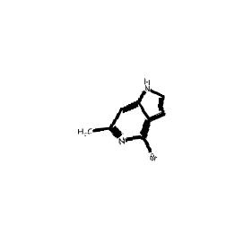 Cc1cc2[nH]ccc2c(Br)n1